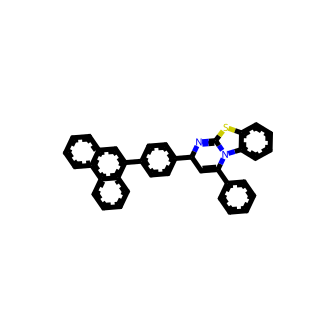 C1=C(c2ccccc2)N2C(=NC1c1ccc(-c3cc4ccccc4c4ccccc34)cc1)Sc1ccccc12